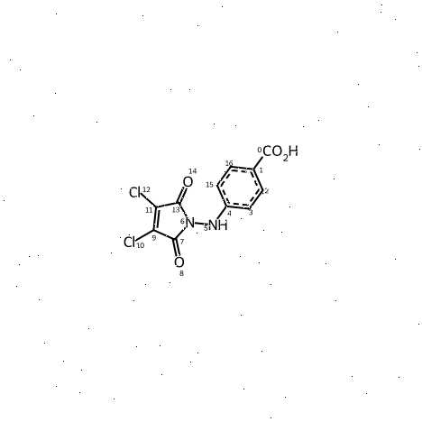 O=C(O)c1[c]cc(NN2C(=O)C(Cl)=C(Cl)C2=O)cc1